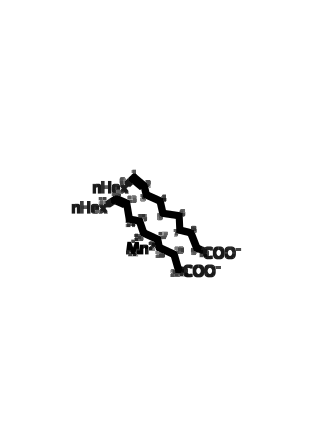 CCCCCC/C=C\CCCCCCCC(=O)[O-].CCCCCC/C=C\CCCCCCCC(=O)[O-].[Mn+2]